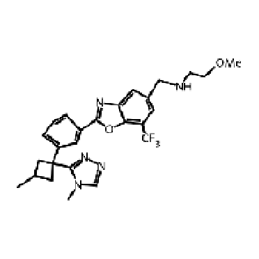 COCCNCc1cc(C(F)(F)F)c2oc(-c3cccc(C4(c5nncn5C)CC(C)C4)c3)nc2c1